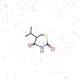 CC(C)C1CSC(=O)NC1=O